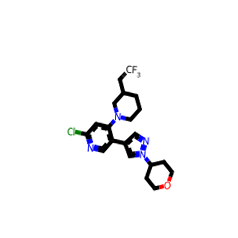 FC(F)(F)CC1CCCN(c2cc(Cl)ncc2-c2cnn(C3CCOCC3)c2)C1